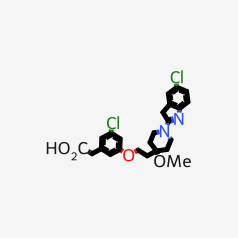 COC1(CCOc2cc(Cl)cc(CC(=O)O)c2)CCN(C2=Nc3ccc(Cl)cc3C2)CC1